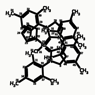 Cc1cc(C)c(N2CCN(c3c(C)cc(C)cc3C)[C]2=[Ru]([Cl])([C]2=CC=CC2)=[C]2N(c3c(C)cc(C)cc3C)CCN2c2c(C)cc(C)cc2C)c(C)c1